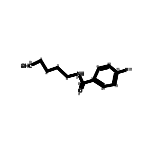 O=CCCCCNC(=O)c1ccc(F)cc1